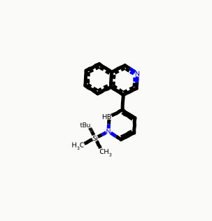 CC(C)(C)[Si](C)(C)N1BC(c2cncc3ccccc23)=CC=C1